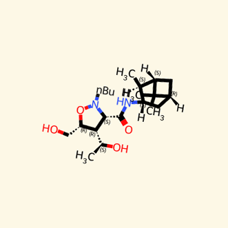 CCCCN1O[C@@H](CO)[C@@H]([C@H](C)O)[C@H]1C(=O)N[C@H]1C[C@H]2C[C@@H]([C@@H]1C)C2(C)C